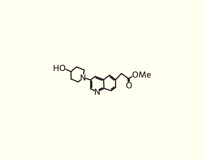 COC(=O)Cc1ccc2ncc(N3CCC(O)CC3)cc2c1